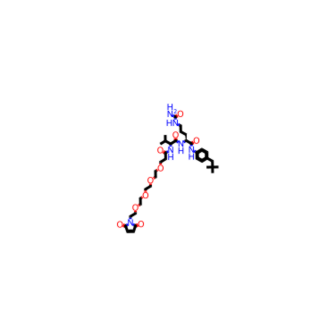 CC(C)C(NC(=O)CCOCCOCCOCCOCCN1C(=O)C=CC1=O)C(=O)N[C@@H](CCCNC(N)=O)C(=O)Nc1ccc(CC(C)(C)C)cc1